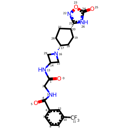 O=C(CNC(=O)c1cccc(C(F)(F)F)c1)NC1CN([C@H]2CC[C@@H](c3noc(=O)[nH]3)CC2)C1